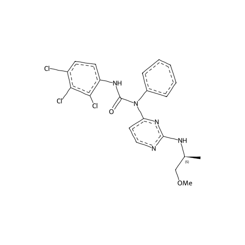 COC[C@H](C)Nc1nccc(N(C(=O)Nc2ccc(Cl)c(Cl)c2Cl)c2ccccc2)n1